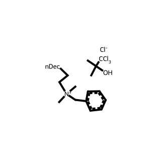 CC(C)(O)C(Cl)(Cl)Cl.CCCCCCCCCCCC[N+](C)(C)Cc1ccccc1.[Cl-]